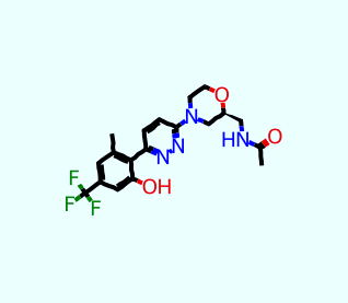 CC(=O)NC[C@H]1CN(c2ccc(-c3c(C)cc(C(F)(F)F)cc3O)nn2)CCO1